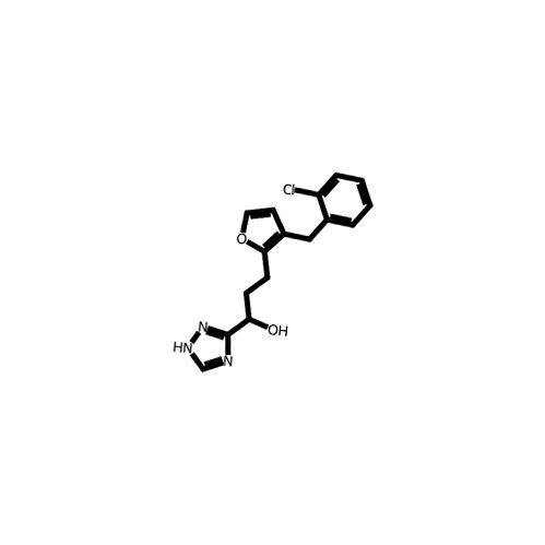 OC(CCc1occc1Cc1ccccc1Cl)c1nc[nH]n1